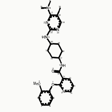 COc1ccccc1Oc1ncccc1C(=O)NC1CCC(Nc2ncc(C)c(N(C)C)n2)CC1